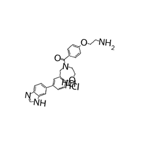 Cl.Cl.NCCOc1ccc(C(=O)N2CCOc3ccc(-c4ccc5nc[nH]c5c4)cc3C2)cc1